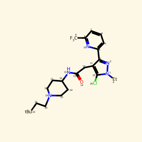 CCn1nc(-c2cccc(C(F)(F)F)n2)c(CC(=O)NC2CCN(CCC(C)(C)C)CC2)c1Cl